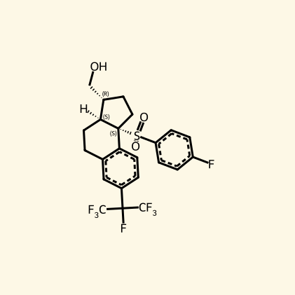 O=S(=O)(c1ccc(F)cc1)[C@@]12CC[C@@H](CO)[C@@H]1CCc1cc(C(F)(C(F)(F)F)C(F)(F)F)ccc12